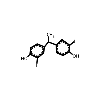 CC(c1ccc(O)c(I)c1)c1ccc(O)c(I)c1